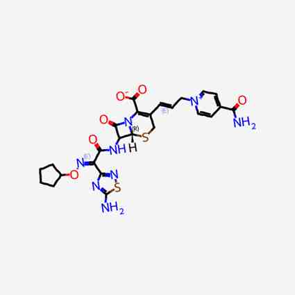 NC(=O)c1cc[n+](C/C=C/C2=C(C(=O)[O-])N3C(=O)C(NC(=O)/C(=N/OC4CCCC4)c4nsc(N)n4)[C@H]3SC2)cc1